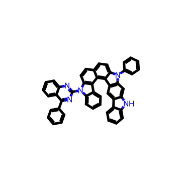 c1ccc(-c2nc(-n3c4ccccc4c4c5c(ccc6c5c5cc7c(cc5n6-c5ccccc5)[nH]c5ccccc57)ccc43)nc3ccccc23)cc1